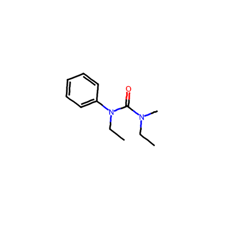 CCN(C)C(=O)N(CC)c1ccccc1